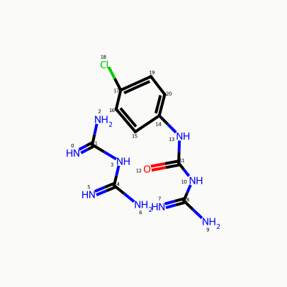 N=C(N)NC(=N)N.N=C(N)NC(=O)Nc1ccc(Cl)cc1